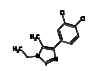 CCn1[c]nc(-c2ccc(Cl)c(Cl)c2)c1C